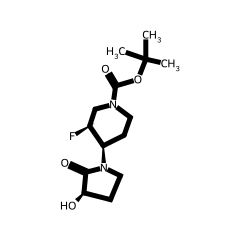 CC(C)(C)OC(=O)N1CC[C@@H](N2CC[C@@H](O)C2=O)[C@@H](F)C1